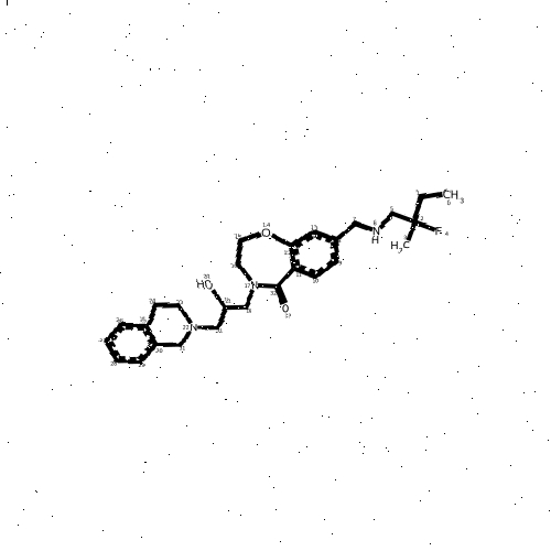 CCC(C)(F)CNCc1ccc2c(c1)OCCN(CC(O)CN1CCc3ccccc3C1)C2=O